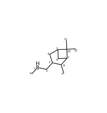 CBCC1CC2CC(C1C)C2(C)C